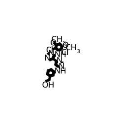 COc1cc(OC)c(Cl)c(Nc2ncncc2-c2cc(Nc3cccc(CCO)c3)ncn2)c1Cl